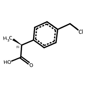 C[C@H](C(=O)O)c1ccc(CCl)cc1